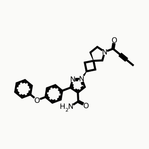 CC#CC(=O)N1CC[C@]2(C1)C[C@H](n1cc(C(N)=O)c(-c3ccc(Oc4ccccc4)cc3)n1)C2